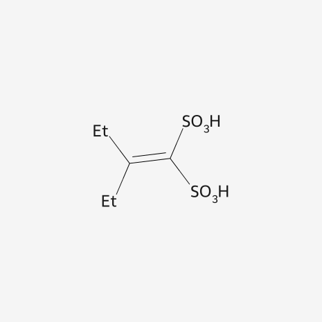 CCC(CC)=C(S(=O)(=O)O)S(=O)(=O)O